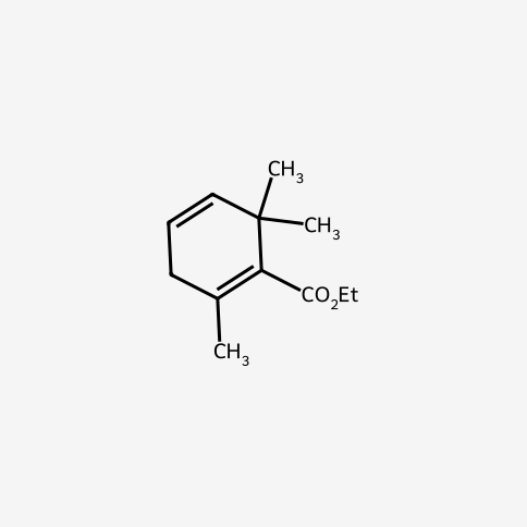 CCOC(=O)C1=C(C)CC=CC1(C)C